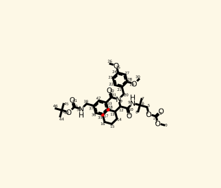 COC(=O)OCC(C)(C)NC(=O)C(C1CCCCC1)N(Cc1ccc(OC)cc1OC)C(=O)c1cccc(CNC(=O)OC(C)(C)C)c1